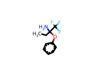 CCC(N)(Oc1ccccc1)C(F)(F)F